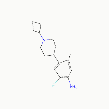 Cc1cc(N)c(F)cc1C1CCN(C2CCC2)CC1